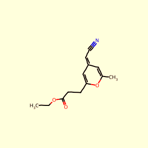 CCOC(=O)CCC1=CC(=CC#N)C=C(C)O1